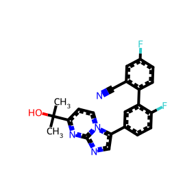 CC(C)(O)c1ccn2c(-c3ccc(F)c(-c4ccc(F)cc4C#N)c3)cnc2n1